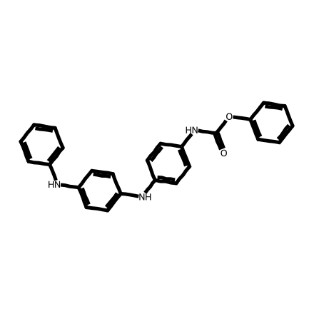 O=C(Nc1ccc(Nc2ccc(Nc3ccccc3)cc2)cc1)Oc1ccccc1